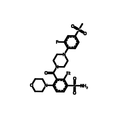 CCc1c(S(N)(=O)=O)ccc(N2CCOCC2)c1C(=O)N1CCN(c2ccc(S(C)(=O)=O)cc2F)CC1